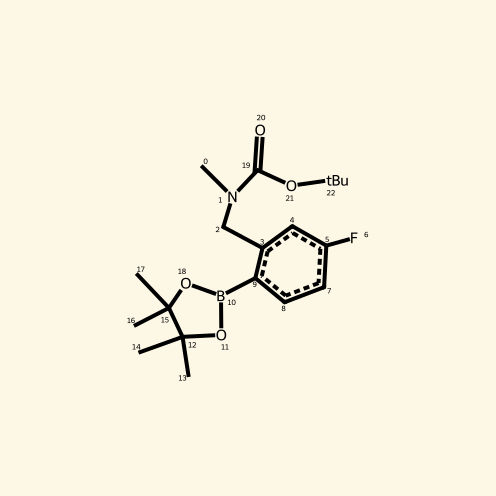 CN(Cc1cc(F)ccc1B1OC(C)(C)C(C)(C)O1)C(=O)OC(C)(C)C